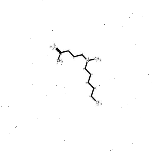 C=C(C)CCCN(C)CCCCCC